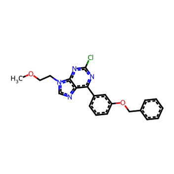 COCCn1cnc2c(-c3cccc(OCc4ccccc4)c3)nc(Cl)nc21